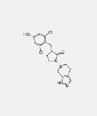 O=C1C(Cc2c(Cl)cc(O)cc2Cl)CCN1[C@@H]1CCc2cn[nH]c2C1